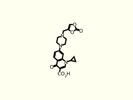 O=C(O)c1cn(C2CC2)c2cc(N3CCN(Cc4coc(=O)o4)CC3)ccc2c1=O